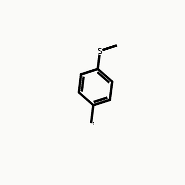 [CH]c1ccc(SC)cc1